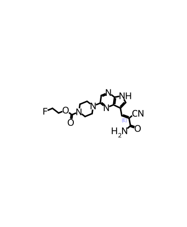 N#C/C(=C\c1c[nH]c2ncc(N3CCN(C(=O)OCCF)CC3)nc12)C(N)=O